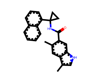 Cc1cc2c(C)c[nH]c2cc1C(=O)NC1(c2cccc3ccccc23)CC1